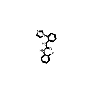 O=C(Nc1ccccc1Br)Nc1ccccc1-n1ccnc1